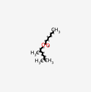 CCCCCCCC(=O)OCCC(C)CCC=C(C)C